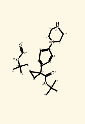 CC(C)(C)OC(=O)C1(c2ccc(N3CCNCC3)cc2)CC1.CC(C)(C)OC=O